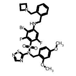 COc1ccc(CN(c2ncns2)S(=O)(=O)c2c(F)cc(NCc3ccccc3CN3CCC3)c(Br)c2F)c(OC)c1